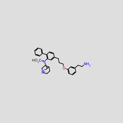 NCCc1cccc(OCCCc2ccc(-c3ccccc3)c(N(C(=O)O)C3CN4CCC3CC4)c2)c1